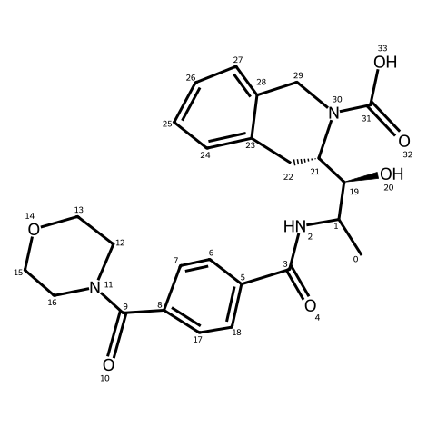 CC(NC(=O)c1ccc(C(=O)N2CCOCC2)cc1)[C@H](O)[C@@H]1Cc2ccccc2CN1C(=O)O